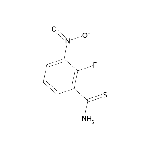 NC(=S)c1cccc([N+](=O)[O-])c1F